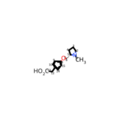 CN1CCC[C@H]1COc1ccc(CC(=O)O)cc1